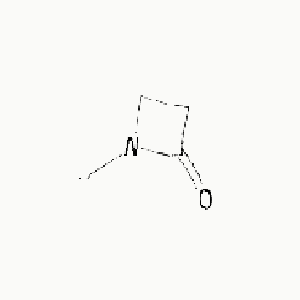 [CH2]N1CCC1=O